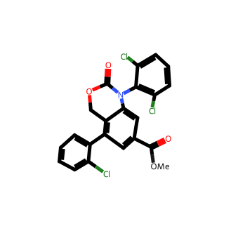 COC(=O)c1cc(-c2ccccc2Cl)c2c(c1)N(c1c(Cl)cccc1Cl)C(=O)OC2